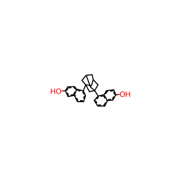 Oc1ccc2c(C34CC5CC(C3)CC(c3cccc6cc(O)ccc36)(C5)C4)cccc2c1